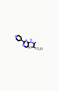 CCOC(=O)C(C#N)=C(C)Nc1ccnc(-c2ccncc2)n1